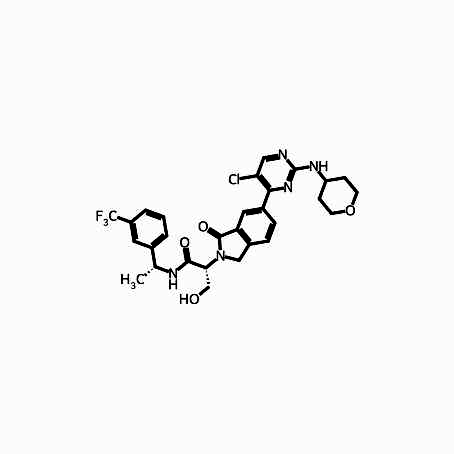 C[C@@H](NC(=O)[C@@H](CO)N1Cc2ccc(-c3nc(NC4CCOCC4)ncc3Cl)cc2C1=O)c1cccc(C(F)(F)F)c1